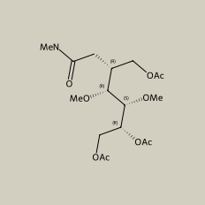 CNC(=O)C[C@H](COC(C)=O)[C@@H](OC)[C@H](OC)[C@@H](COC(C)=O)OC(C)=O